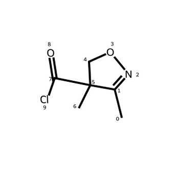 CC1=NOCC1(C)C(=O)Cl